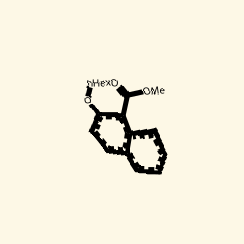 CCCCCCOc1ccc2ccccc2c1C(=O)OC